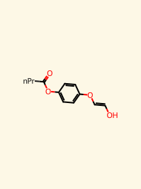 CCCC(=O)Oc1ccc(OC=CO)cc1